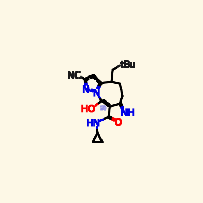 CC(C)(C)CC1CCC(=N)/C(C(=O)NC2CC2)=C(/O)n2nc(C#N)cc21